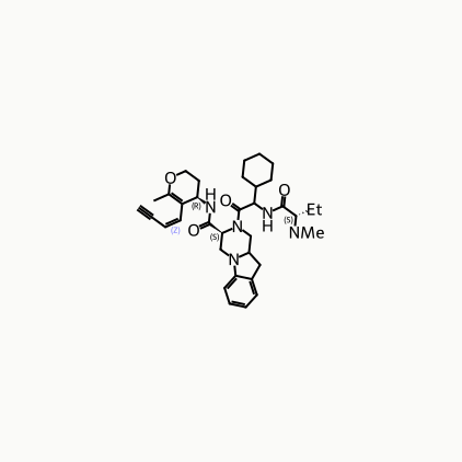 C#C/C=C\C1=C(C)OCC[C@H]1NC(=O)[C@@H]1CN2c3ccccc3CC2CN1C(=O)C(NC(=O)[C@H](CC)NC)C1CCCCC1